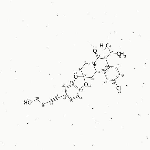 CC(C)C(C(=O)N1CCC2(CC1)Oc1ccc(C#CCCO)cc1O2)c1ccc(Cl)cc1